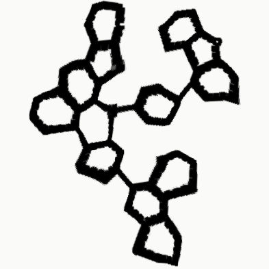 c1ccc(-c2ccc(-c3cc4ccccc4c4ccccc34)cc2N(c2ccc(-c3cccc4oc5ccccc5c34)cc2)c2cccc3c2sc2ccccc23)cc1